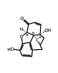 O=C1C=C[C@@]2(O)CC3Cc4ccc(O)c5c4[C@@]2(C3)[C@H]1O5